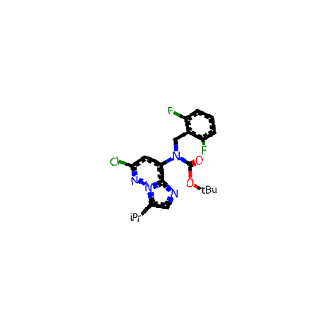 CC(C)c1cnc2c(N(Cc3c(F)cccc3F)C(=O)OC(C)(C)C)cc(Cl)nn12